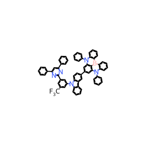 FC(F)(F)c1cc(-c2nc(-c3ccccc3)cc(-c3ccccc3)n2)cc(-n2c3ccccc3c3cc(-c4cc5c6c(c4)N(c4ccccc4)c4ccccc4B6c4ccccc4N5c4ccccc4)ccc32)c1